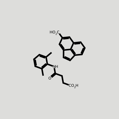 Cc1cccc(C)c1NC(=O)CCC(=O)O.O=C(O)c1cc2c3c(cccc3c1)C=C2